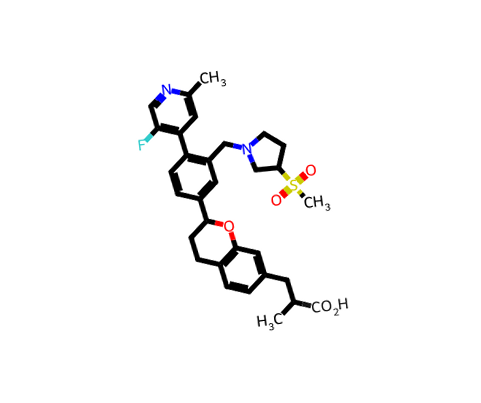 Cc1cc(-c2ccc(C3CCc4ccc(CC(C)C(=O)O)cc4O3)cc2CN2CCC(S(C)(=O)=O)C2)c(F)cn1